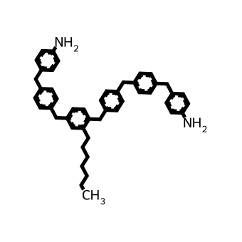 CCCCCCCc1cc(Cc2ccc(Cc3ccc(N)cc3)cc2)ccc1Cc1ccc(Cc2ccc(Cc3ccc(N)cc3)cc2)cc1